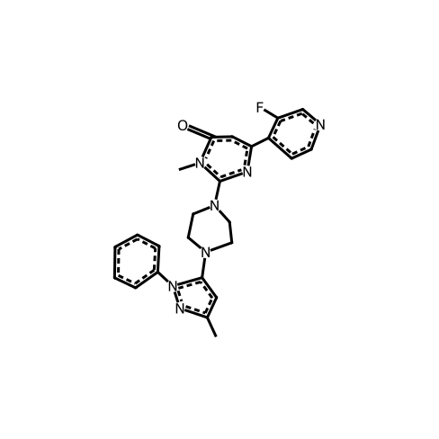 Cc1cc(N2CCN(c3nc(-c4ccncc4F)cc(=O)n3C)CC2)n(-c2ccccc2)n1